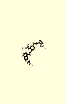 COc1ccc2nccc([C@H](F)CC[C@@H]3CCN(CC#Cc4nccn4C)C[C@@H]3CC(=O)O)c2c1